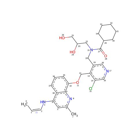 C/C=C\Nc1cc(C)nc2c(OCc3c(Cl)cncc3CN(CC(O)CO)C(=O)C3CCCCC3)cccc12